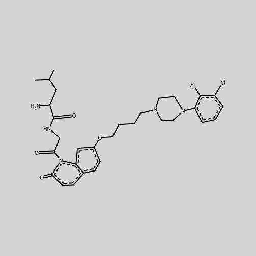 CC(C)CC(N)C(=O)NCC(=O)n1c(=O)ccc2ccc(OCCCCN3CCN(c4cccc(Cl)c4Cl)CC3)cc21